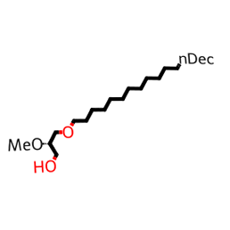 CCCCCCCCCCCCCCCCCCCCCCOC[C@H](CO)OC